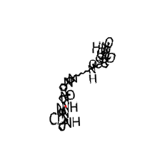 O=C(COc1cccc2c1C(=O)N(C1CCC(=O)NC1=O)C2=O)NCCCCCCCN1CCN(c2cccc(C(=O)N3CCCC(Nc4ncc(Cl)c(-c5c[nH]c6ccccc56)n4)C3)c2)CC1